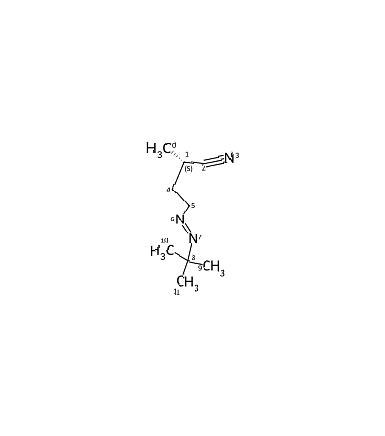 C[C@H](C#N)CCN=NC(C)(C)C